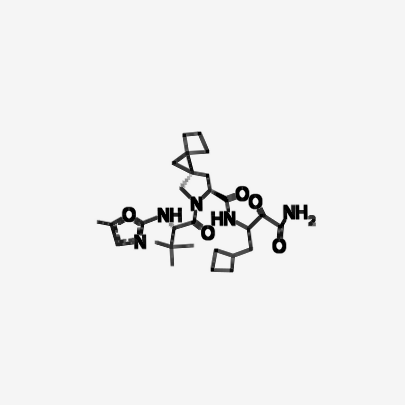 Cc1cnc(N[C@H](C(=O)N2C[C@]3(C[C@H]2C(=O)NC(CC2CCC2)C(=O)C(N)=O)CC32CCC2)C(C)(C)C)o1